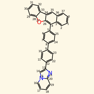 c1ccc2c(-c3ccc(-c4ccc(-c5cn6ccccc6n5)cc4)cc3)c3oc4ccccc4c3cc2c1